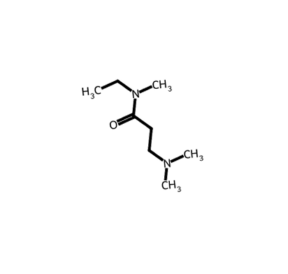 CCN(C)C(=O)CCN(C)C